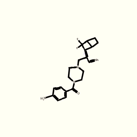 N=C/C(CN1CCN(C(=O)c2ccc(N)cc2)CC1)=C1\C2CCC2C1(F)F